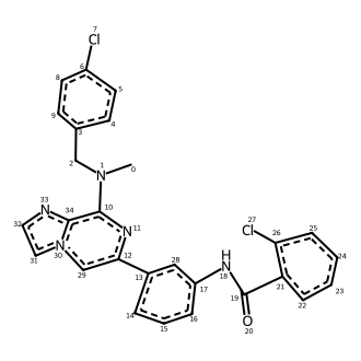 CN(Cc1ccc(Cl)cc1)c1nc(-c2cccc(NC(=O)c3ccccc3Cl)c2)cn2ccnc12